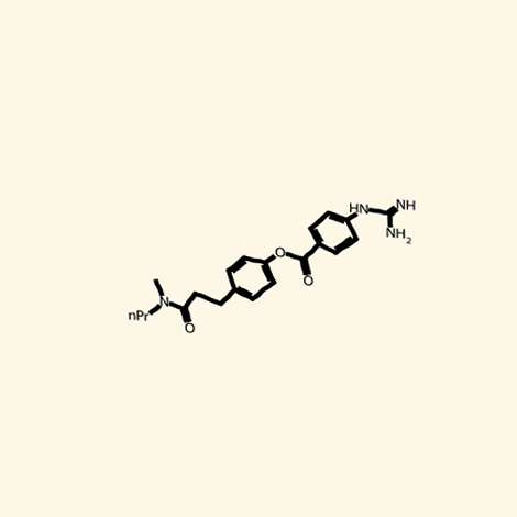 CCCN(C)C(=O)CCc1ccc(OC(=O)c2ccc(NC(=N)N)cc2)cc1